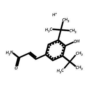 CC(C)(C)c1cc(/C=C/C(N)=O)cc(C(C)(C)C)c1O.[H+]